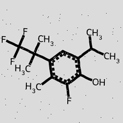 Cc1c(C(C)(C)C(F)(F)F)cc(C(C)C)c(O)c1F